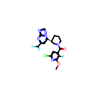 COc1nc(Cl)cc(C(=O)N2CCC[C@H](c3cc(C(F)F)nc4ncnn34)C2)c1F